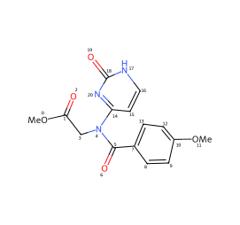 COC(=O)CN(C(=O)c1ccc(OC)cc1)c1cc[nH]c(=O)n1